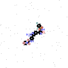 COc1ncc(-c2ccc3nc(N)c(-c4ccc(NC(=O)C(=O)N5CCOCC5)cc4)cc3c2)cc1NS(=O)(=O)c1ccc(F)cc1F